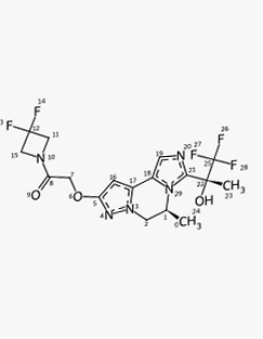 C[C@H]1Cn2nc(OCC(=O)N3CC(F)(F)C3)cc2-c2cnc([C@@](C)(O)C(F)(F)F)n21